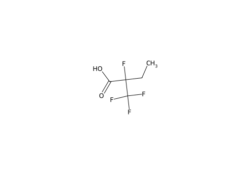 CCC(F)(C(=O)O)C(F)(F)F